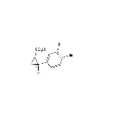 CCOC(=O)C1C[C@@]1(F)c1ccc(Br)c(F)c1